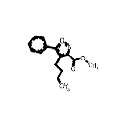 CCCCc1c(C(=O)OC)noc1-c1ccccc1